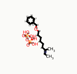 C/C=C(\C)CCCCCCOCc1ccccc1.O=P(O)(O)OP(=O)(O)O